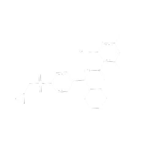 COc1nc(C(F)(F)F)cc(C)c1C(=O)NC(c1ccc(S(=O)(=O)CC2CC2)cc1)C1CCOCC1